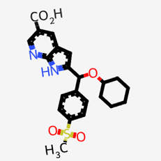 CS(=O)(=O)c1ccc(C(OC2CCCCC2)c2cc3cc(C(=O)O)cnc3[nH]2)cc1